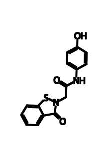 O=C(Cn1sc2ccccc2c1=O)Nc1ccc(O)cc1